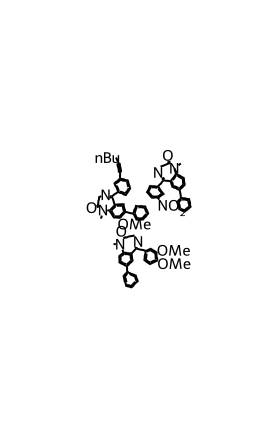 CCCCC#Cc1cccc(C2=NCC(=O)N(C)c3cc(OC)c(-c4ccccc4)cc32)c1.CN1C(=O)CN=C(c2cccc([N+](=O)[O-])c2)c2cc(-c3ccccc3)ccc21.COc1ccc(C2=NCC(=O)N(C)c3ccc(-c4ccccc4)cc32)cc1OC